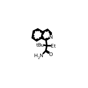 CCC(C(N)=O)(c1nccc2ccccc12)C(C)(C)C